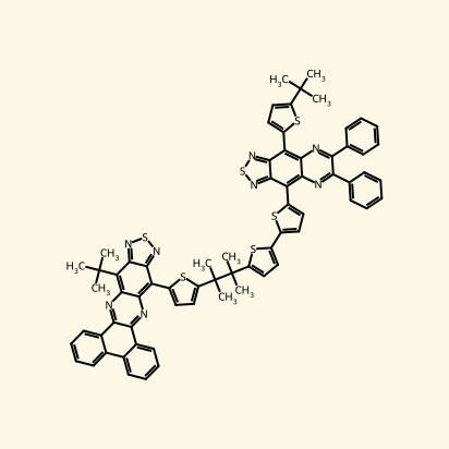 CC(C)(C)c1ccc(-c2c3nsnc3c(-c3ccc(-c4ccc(C(C)(C)C(C)(C)c5ccc(-c6c7nsnc7c(C(C)(C)C)c7nc8c9ccccc9c9ccccc9c8nc67)s5)s4)s3)c3nc(-c4ccccc4)c(-c4ccccc4)nc23)s1